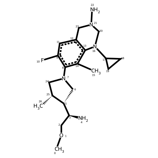 COC[C@H](N)[C@H]1CN(c2c(F)cc3c(c2C)N(C2CC2)CN(N)C3)C[C@H]1C